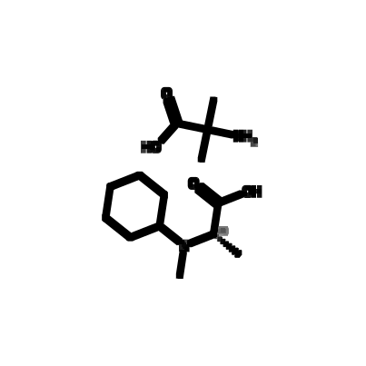 CC(C)(N)C(=O)O.C[C@@H](C(=O)O)N(C)C1CCCCC1